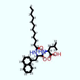 CCCCCCCCCCCC(=O)NC(Cc1cccc2ccccc12)C(=O)NC(CC(C)C)C(=O)O